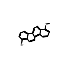 COc1cccc2c1ccc1c3cccc(Br)c3ccc21